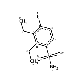 CCc1c(F)ccc(S(N)(=O)=O)c1CC